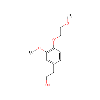 COCCOc1ccc(CCO)cc1OC